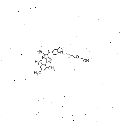 Cc1cc(C)c(-c2nnc3n2N=C(C(C)(C)C)/C3=N/c2ccc3c(c2)CCN3CCOCCOCCO)c(C)c1